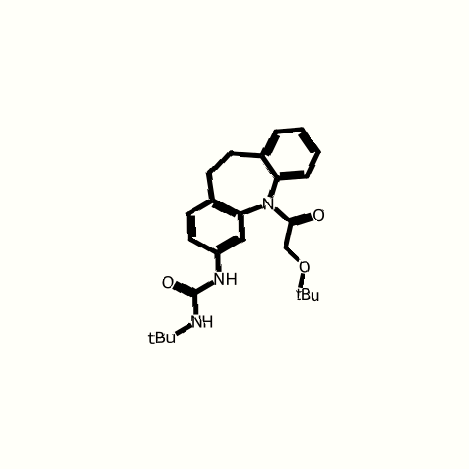 CC(C)(C)NC(=O)Nc1ccc2c(c1)N(C(=O)COC(C)(C)C)c1ccccc1CC2